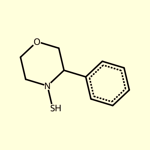 SN1CCOCC1c1ccccc1